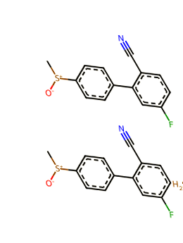 C[S+]([O-])c1ccc(-c2cc(F)ccc2C#N)cc1.C[S+]([O-])c1ccc(-c2cc(F)ccc2C#N)cc1.S